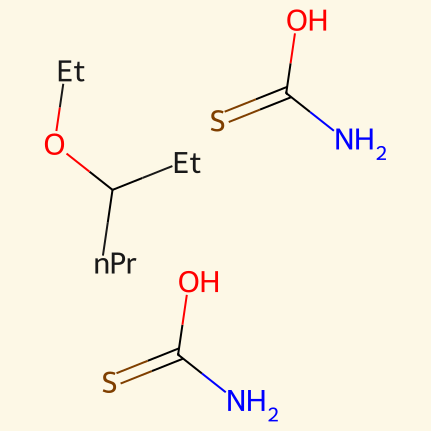 CCCC(CC)OCC.NC(O)=S.NC(O)=S